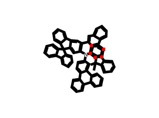 CC1(C)c2ccccc2-c2cccc(N(c3ccc4c5ccccc5c5ccccc5c4c3)c3cc4c(cc3-c3cc5ccccc5c5ccccc35)-c3ccccc3C43c4ccccc4-c4ccccc43)c21